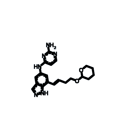 Nc1nccc(Nc2cc(/C=C/CCOC3CCCCO3)c3[nH]ncc3c2)n1